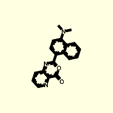 CN(C)c1ccc(-c2nc3cccnc3c(=O)o2)c2ccccc12